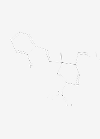 C=CC1C=CC([N+](=O)[O-])=CC1(F)/C=C/c1ccccc1F